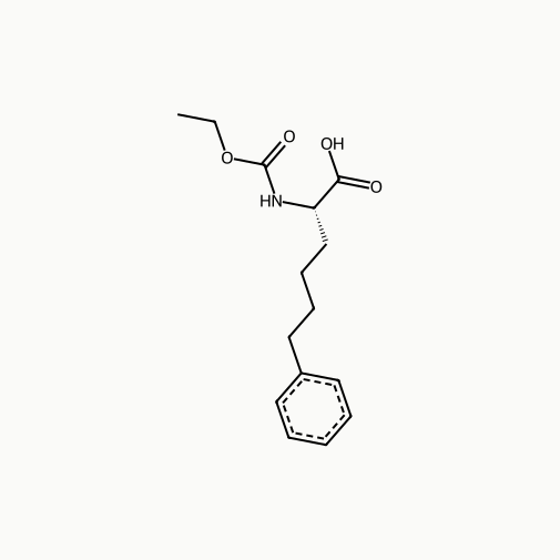 CCOC(=O)N[C@@H](CCCCc1ccccc1)C(=O)O